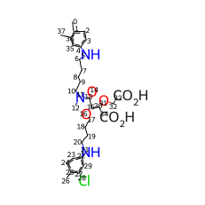 Cc1ccc(NCCCCCN(C)C(=O)C(OCCCCNc2ccc(C)c(Cl)c2)C(OCC(=O)O)C(=O)O)cc1C